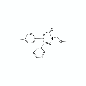 COCn1nc(-c2ccccc2)c(-c2ccc(C)cc2)cc1=O